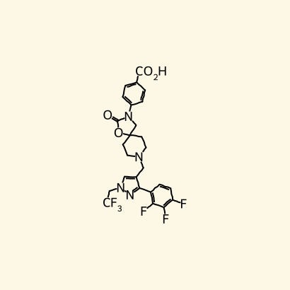 O=C(O)c1ccc(N2CC3(CCN(Cc4cn(CC(F)(F)F)nc4-c4ccc(F)c(F)c4F)CC3)OC2=O)cc1